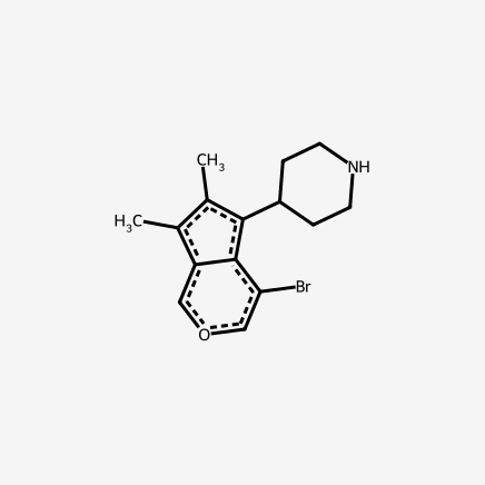 Cc1c2cocc(Br)c-2c(C2CCNCC2)c1C